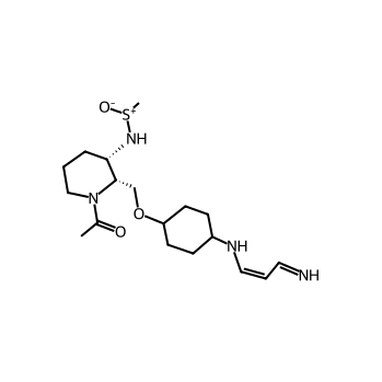 CC(=O)N1CCC[C@H](N[S+](C)[O-])[C@@H]1COC1CCC(N/C=C\C=N)CC1